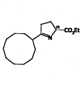 CCOC(=O)[C@H]1CCC(C2CCCCCCCCC2)=N1